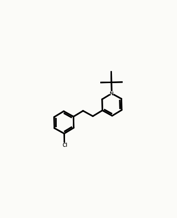 CC(C)(C)N1C=CC=C(CCc2cccc(Cl)c2)C1